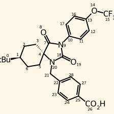 CC(C)(C)[C@H]1CC[C@]2(CC1)C(=O)N(c1ccc(OC(F)(F)F)cc1)C(=O)N2Cc1ccc(C(=O)O)cc1